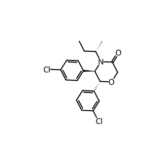 CC[C@H](C)N1C(=O)CO[C@H](c2cccc(Cl)c2)[C@H]1c1ccc(Cl)cc1